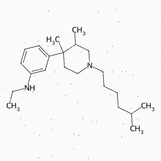 CCNc1cccc(C2(C)CCN(CCCCC(C)C)CC2C)c1